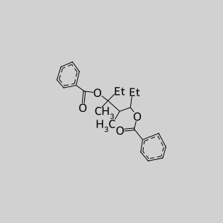 CCC(OC(=O)c1ccccc1)C(C)C(C)(CC)OC(=O)c1ccccc1